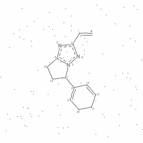 C=Cc1nc2n(n1)C(C1=CCCC=C1)CC2